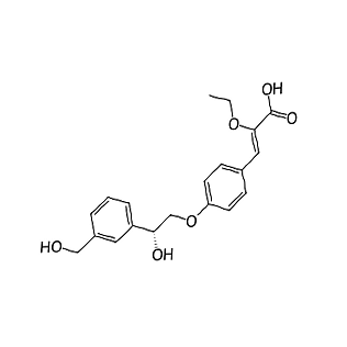 CCO/C(=C\c1ccc(OC[C@H](O)c2cccc(CO)c2)cc1)C(=O)O